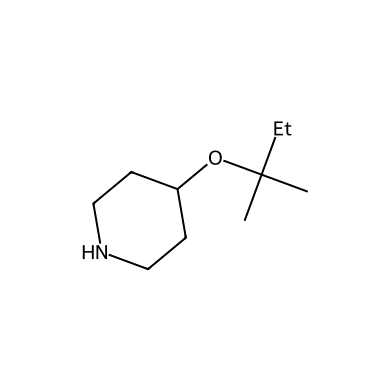 CCC(C)(C)OC1CCNCC1